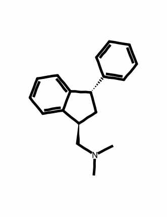 CN(C)C[C@@H]1C[C@@H](c2ccccc2)c2ccccc21